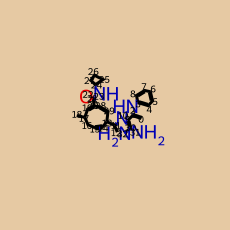 C=C(Nc1ccccc1)C(/N=C(\C)C1C#CCC(C)/C=C(C(=O)NC2CCC2)\C=C/1)=C(N)N